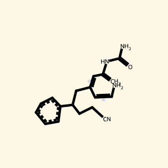 C=C(/C=C(\C=C/N)CC(CCC#N)c1ccccc1)NC(N)=O